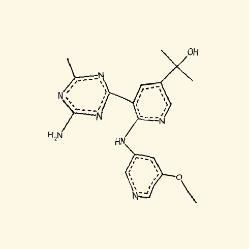 COc1cncc(Nc2ncc(C(C)(C)O)cc2-c2nc(C)nc(N)n2)c1